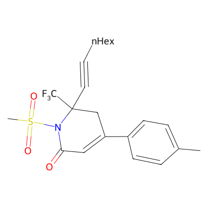 CCCCCCC#CC1(C(F)(F)F)CC(c2ccc(C)cc2)=CC(=O)N1S(C)(=O)=O